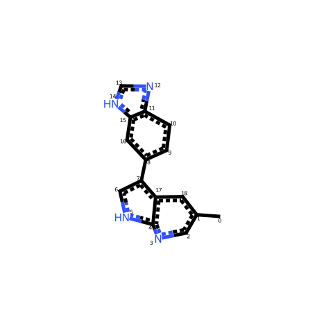 Cc1cnc2[nH]cc(-c3ccc4nc[nH]c4c3)c2c1